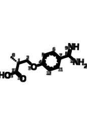 C[C@H](COc1ccc(C(=N)N)cc1)C(=O)O